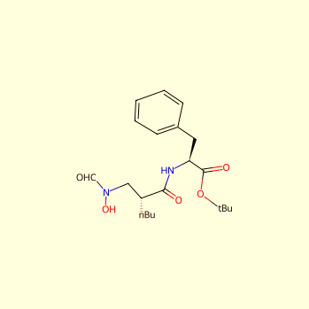 CCCC[C@H](CN(O)C=O)C(=O)N[C@@H](Cc1ccccc1)C(=O)OC(C)(C)C